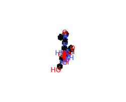 Cc1ccccc1[C@@H]1COCCCN1C1CC2(CCN(c3ccc(C(=O)NS(=O)(=O)c4ccc(NC[C@H]5CC[C@](C)(O)CC5)c([N+](=O)[O-])c4)c(N4c5cc6cc[nH]c6nc5O[C@H]5COC(C)(C)C[C@@H]54)c3)CC2)C1